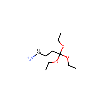 CCOC(CC[SiH2]N)(OCC)OCC